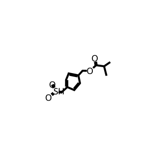 CC(C)C(=O)OCc1ccc(C[SH](=O)=O)cc1